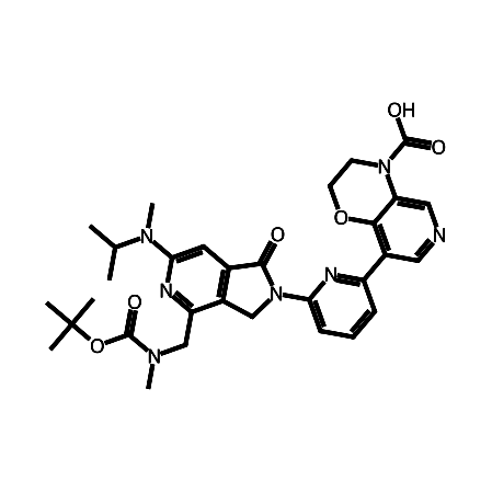 CC(C)N(C)c1cc2c(c(CN(C)C(=O)OC(C)(C)C)n1)CN(c1cccc(-c3cncc4c3OCCN4C(=O)O)n1)C2=O